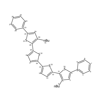 CCCCc1cc(-c2ccccc2)sc1-c1ccc(-c2ccc(-c3sc(-c4ccccc4)cc3CCCC)s2)s1